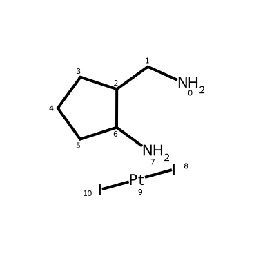 NCC1CCCC1N.[I][Pt][I]